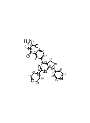 CN(C(N)=O)C(=O)c1cccc(-c2nc(N3CCOCC3)nc3c2CCN3c2ccncc2)c1